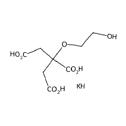 O=C(O)CC(CC(=O)O)(OCCO)C(=O)O.[KH]